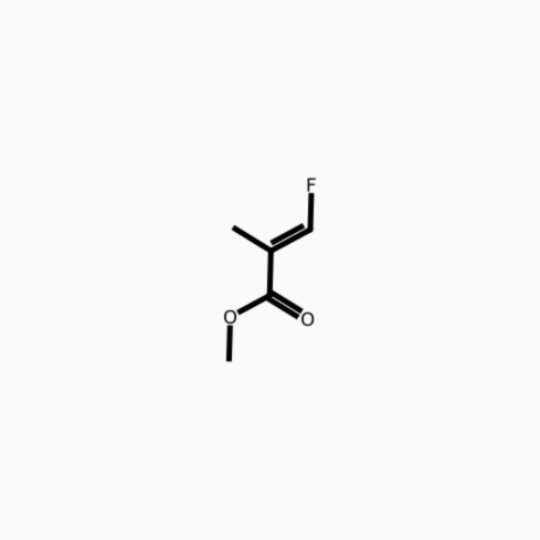 COC(=O)/C(C)=C/F